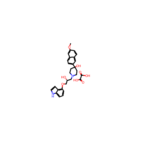 COc1ccc2cc(C3(O)CCN(C[C@H](O)COc4cccc5[nH]ccc45)CC3)ccc2c1.O=C(O)C(=O)O